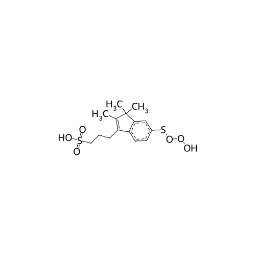 CC1=C(CCCS(=O)(=O)O)c2ccc(SOOO)cc2C1(C)C